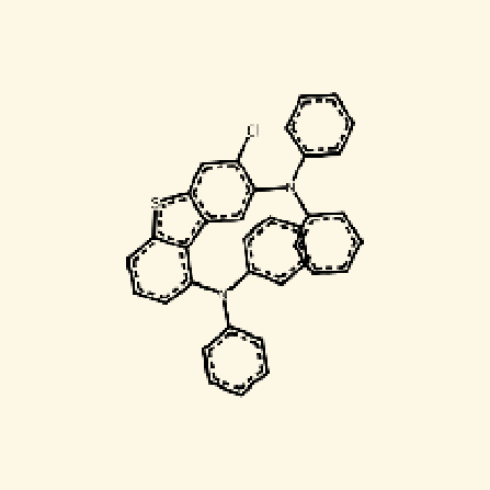 Clc1cc2sc3cccc(N(c4ccccc4)c4ccccc4)c3c2cc1N(c1ccccc1)c1ccccc1